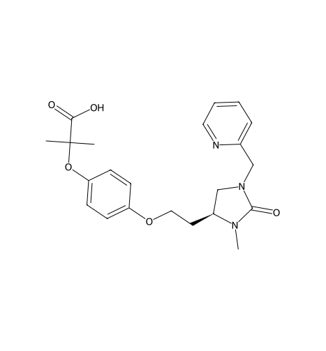 CN1C(=O)N(Cc2ccccn2)C[C@@H]1CCOc1ccc(OC(C)(C)C(=O)O)cc1